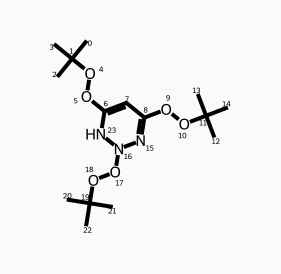 CC(C)(C)OOC1=CC(OOC(C)(C)C)=NN(OOC(C)(C)C)N1